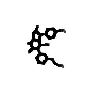 CCOc1cccc(-c2c(O)c3c(cc(Cl)n3-c3ccc(C)cc3)[nH]c2=O)c1